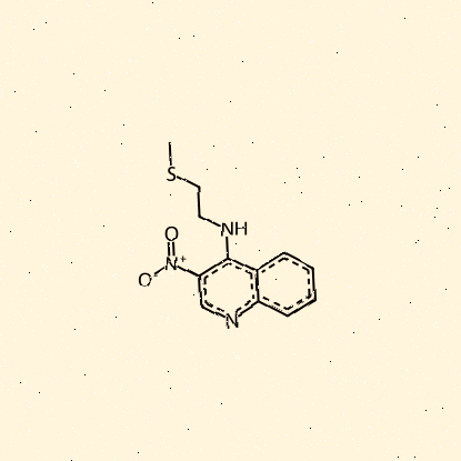 CSCCNc1c([N+](=O)[O-])cnc2ccccc12